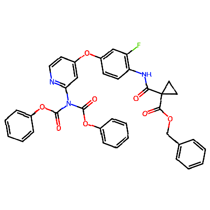 O=C(Oc1ccccc1)N(C(=O)Oc1ccccc1)c1cc(Oc2ccc(NC(=O)C3(C(=O)OCc4ccccc4)CC3)c(F)c2)ccn1